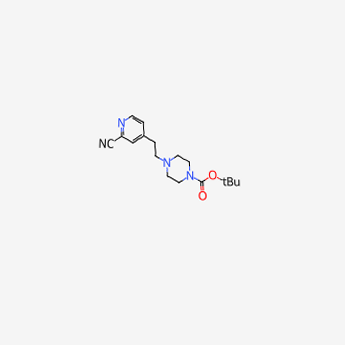 CC(C)(C)OC(=O)N1CCN(CCc2ccnc(C#N)c2)CC1